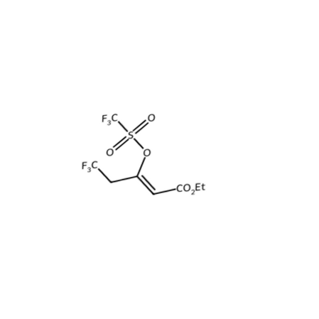 CCOC(=O)/C=C(/CC(F)(F)F)OS(=O)(=O)C(F)(F)F